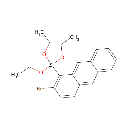 CCO[Si](OCC)(OCC)c1c(Br)ccc2cc3ccccc3cc12